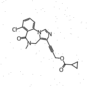 CN1Cc2c(C#CCOC(=O)C3CC3)ncn2-c2cccc(Cl)c2C1=O